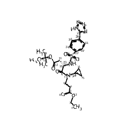 CCOC(=O)CCN(C(=O)[C@H](CC(=O)OC(C)(C)C)NS(=O)(=O)c1ccc(-c2nnn[nH]2)cc1)C1CC1